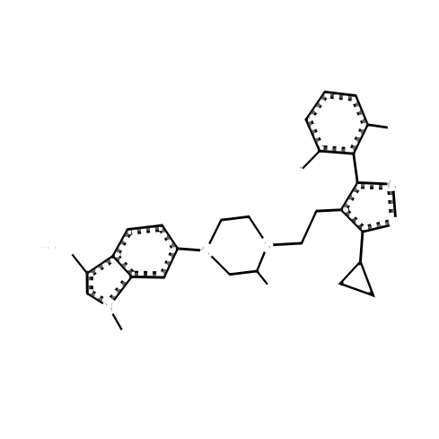 CC1CN(c2ccc3c(C(=O)O)cn(C)c3c2)CCN1CCc1c(-c2c(Cl)cccc2Cl)noc1C1CC1